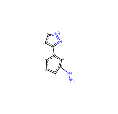 NNc1cccc(-c2cc[nH]n2)c1